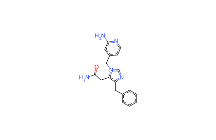 NC(=O)Cc1c(Cc2ccccc2)ncn1Cc1ccnc(N)c1